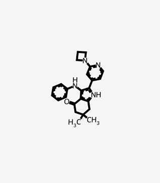 CC1(C)CC(=O)c2c([nH]c(-c3ccnc(N4CCC4)c3)c2Nc2ccccc2)C1